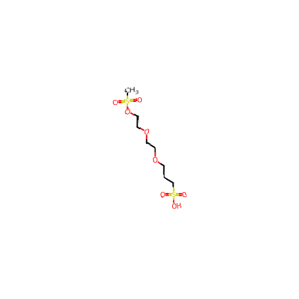 CS(=O)(=O)OCCOCCOCCCS(=O)(=O)O